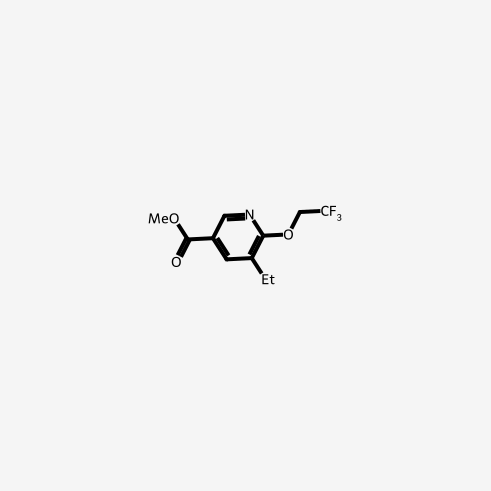 CCc1cc(C(=O)OC)cnc1OCC(F)(F)F